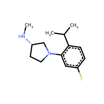 CN[C@H]1CCN(c2cc(F)ccc2C(C)C)C1